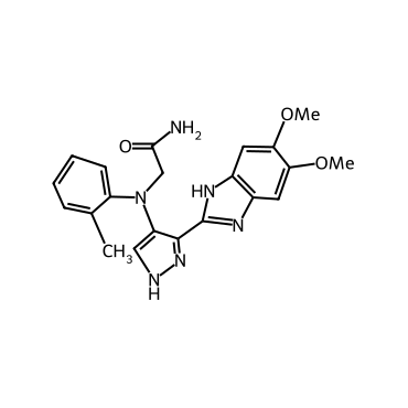 COc1cc2nc(-c3n[nH]cc3N(CC(N)=O)c3ccccc3C)[nH]c2cc1OC